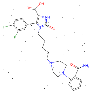 NC(=O)c1ccccc1N1CCN(CCCCCn2c(-c3ccc(F)c(F)c3)c(C(=O)O)[nH]c2=O)CC1